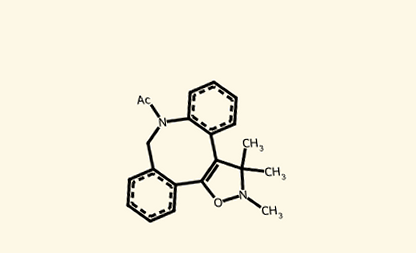 CC(=O)N1Cc2ccccc2C2=C(c3ccccc31)C(C)(C)N(C)O2